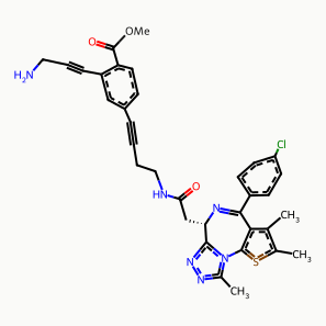 COC(=O)c1ccc(C#CCCNC(=O)C[C@@H]2N=C(c3ccc(Cl)cc3)c3c(sc(C)c3C)-n3c(C)nnc32)cc1C#CCN